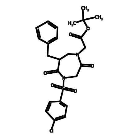 CC(C)(C)OC(=O)CN1CC(Cc2ccccc2)C(=O)N(S(=O)(=O)c2ccc(Cl)cc2)CC1=O